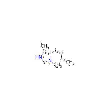 C=C/C=C\C1=C(C)NCN1C